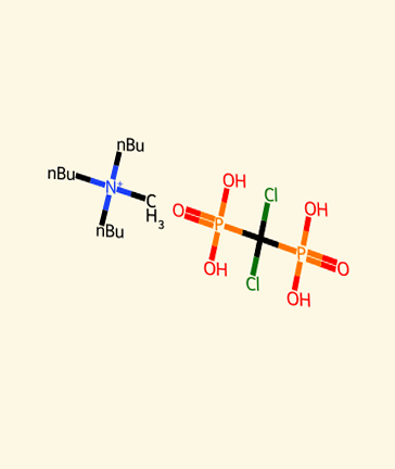 CCCC[N+](C)(CCCC)CCCC.O=P(O)(O)C(Cl)(Cl)P(=O)(O)O